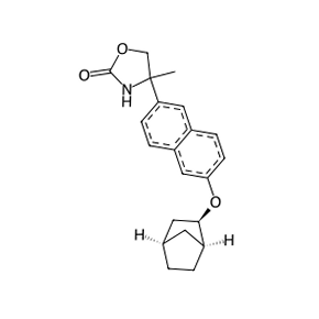 CC1(c2ccc3cc(O[C@@H]4C[C@@H]5CC[C@H]4C5)ccc3c2)COC(=O)N1